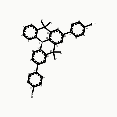 CC1(C)c2ccccc2N2c3ccc(-c4ccc(F)cc4)cc3C(C)(C)c3cc(-c4ccc(F)cc4)cc1c32